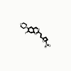 O=[N+]([O-])c1ccc(C=Cc2ncc3cc(N4CCOCC4)c(F)cc3n2)o1